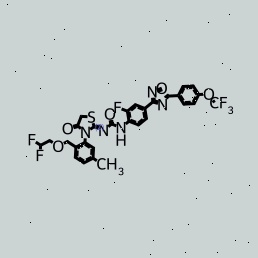 Cc1ccc(COCC(F)F)c(N2C(=O)CS/C2=N\C(=O)Nc2ccc(-c3noc(-c4ccc(OC(F)(F)F)cc4)n3)cc2F)c1